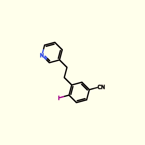 N#Cc1ccc(I)c(CCc2cccnc2)c1